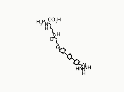 O=C(CCCOc1ccc(-c2ccc(-c3ccc(C4=NNNN4)cc3)cc2)cc1)NCCCC[C@H](NP)C(=O)O